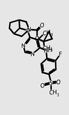 Cc1c(Nc2ccc(S(C)(=O)=O)cc2F)ncnc1OC1C2CCC1CN(C(=O)OC1(C)CC1)C2